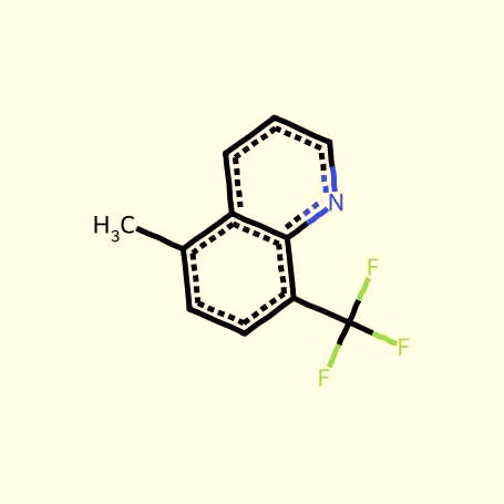 Cc1ccc(C(F)(F)F)c2ncccc12